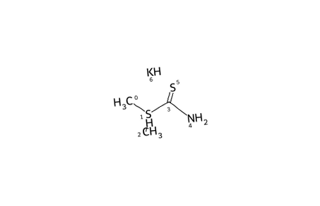 C[SH](C)C(N)=S.[KH]